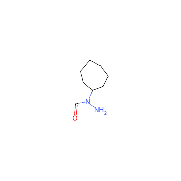 NN(C=O)C1CCCCCC1